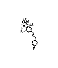 CCOP(=O)(OCC)C(F)(F)c1ccc(CSCc2ccc(F)cc2)cc1Br